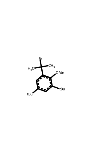 COc1c(C(C)(C)C)cc(C(C)(C)C)cc1C(C)(C)Br